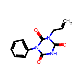 C=CCn1c(=O)[nH]c(=O)n(-c2ccccc2)c1=O